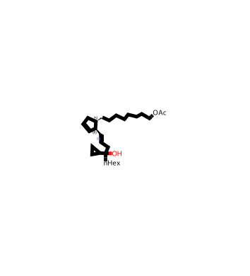 CCCCCCC(O)(C/C=C/[C@H]1C=CC[C@@H]1CCCCCCCCOC(C)=O)C1CC1